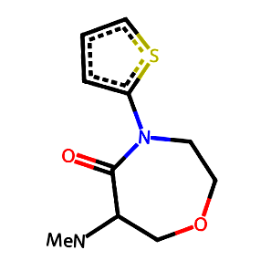 CNC1COCCN(c2cccs2)C1=O